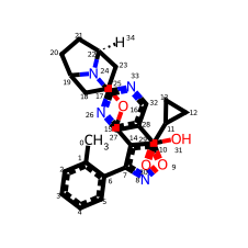 Cc1ccccc1-c1noc(C2CC2)c1COC1CC2CC[C@@H](C1)N2c1ncc(C(=O)O)cn1